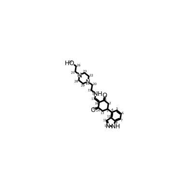 O=C1CC(c2cccc3[nH]ncc23)CC(=O)C1=CNCCN1CCN(CCO)CC1